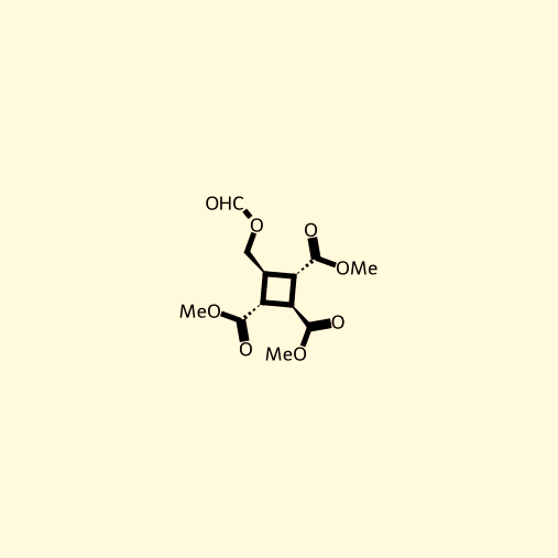 COC(=O)[C@H]1[C@H](C(=O)OC)[C@@H](COC=O)[C@@H]1C(=O)OC